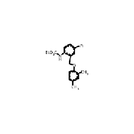 CCOC(=O)Nc1ccc(C(C)C)cc1COc1ccc(C)cc1C